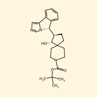 CC(C)(C)OC(=O)N1CCC2(CC[C@H]([C@H]3c4ccccc4-c4cncn43)[C@H]2O)CC1